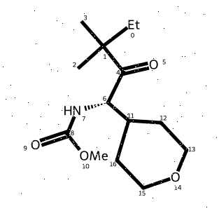 CCC(C)(C)C(=O)[C@@H](NC(=O)OC)C1CCOCC1